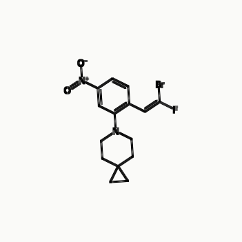 O=[N+]([O-])c1ccc(C=C(F)Br)c(N2CCC3(CC2)CC3)c1